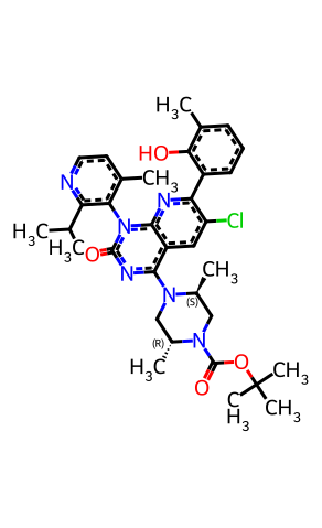 Cc1cccc(-c2nc3c(cc2Cl)c(N2C[C@@H](C)N(C(=O)OC(C)(C)C)C[C@@H]2C)nc(=O)n3-c2c(C)ccnc2C(C)C)c1O